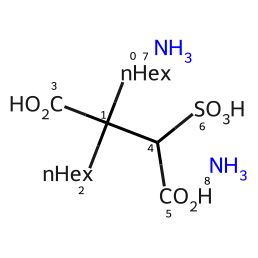 CCCCCCC(CCCCCC)(C(=O)O)C(C(=O)O)S(=O)(=O)O.N.N